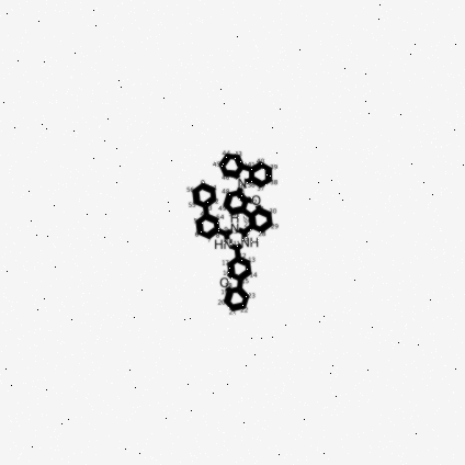 c1ccc(-c2cccc(C3NC(c4ccc5c(c4)oc4ccccc45)NC(c4cccc5oc6c(-n7c8ccccc8c8ccccc87)cccc6c45)N3)c2)cc1